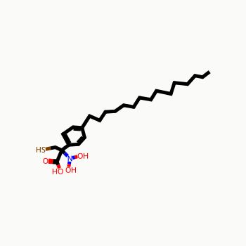 CCCCCCCCCCCCCCCc1ccc(C(CS)(C(=O)O)N(O)O)cc1